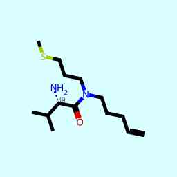 C=CCCCN(CCCSC)C(=O)[C@@H](N)C(C)C